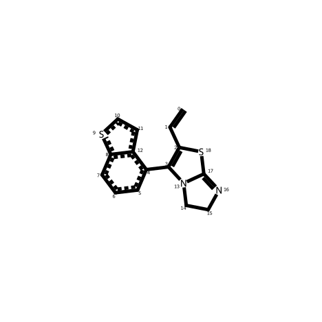 C=CC1=C(c2cccc3sccc23)N2CCN=C2S1